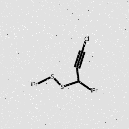 CC(C)SSC(C#CCl)C(C)C